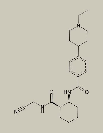 CCN1CCC(c2ccc(C(=O)N[C@H]3CCCC[C@H]3C(=O)NCC#N)cc2)CC1